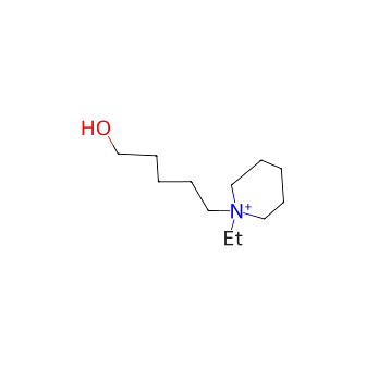 CC[N+]1(CCCCCO)CCCCC1